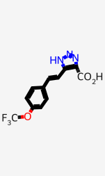 O=C(O)c1nn[nH]c1C=Cc1ccc(OC(F)(F)F)cc1